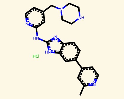 Cc1cc(-c2ccc3nc(Nc4cc(CN5CCNCC5)ccn4)[nH]c3c2)ccn1.Cl